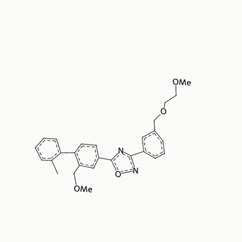 COCCOCc1cccc(-c2noc(-c3ccc(-c4ccccc4C)c(COC)c3)n2)c1